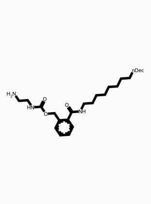 CCCCCCCCCCCCCCCCCCNC(=O)c1ccccc1COC(=O)NCCN